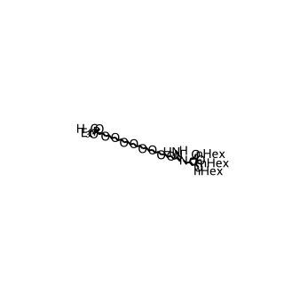 CCCCCCOc1cc(CN/C=C(/COCCOCCOCCOCCOCCOCCOCCOCCP(C)(=O)OCC)N=N)cc(OCCCCCC)c1OCCCCCC